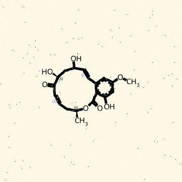 COc1cc(O)c2c(c1)/C=C/C(O)C[C@H](O)C(=O)/C=C\C[C@H](C)OC2=O